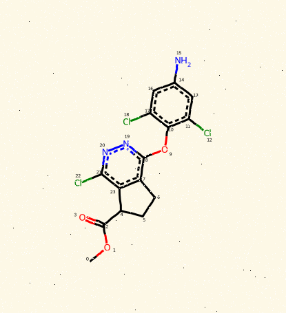 COC(=O)C1CCc2c(Oc3c(Cl)cc(N)cc3Cl)nnc(Cl)c21